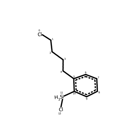 ClCCCCc1ccccc1[SiH2]Cl